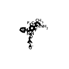 Cc1cc(N)nc(-c2c(Cl)cc3c(N4CC5CCC(C4)N5)nc(OCC4C[S+]([O-])C4)nc3c2F)c1C(F)(F)F